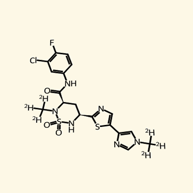 [2H]C([2H])([2H])N1[C@@H](C(=O)Nc2ccc(F)c(Cl)c2)C[C@@H](c2ncc(-c3cn(C([2H])([2H])[2H])cn3)s2)NS1(=O)=O